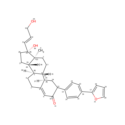 C[C@]12CC[C@H]3[C@@H](CCC4=CC(=O)C(c5ccc(-c6ccco6)cc5)C[C@@H]43)[C@@H]1CC[C@@]2(O)C=CCO